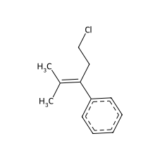 CC(C)=C(CCCl)c1ccccc1